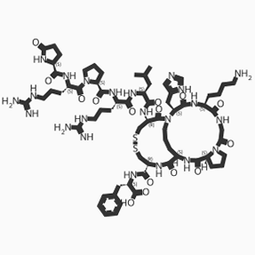 CC(C)C[C@H](NC(=O)[C@H](CCCNC(=N)N)NC(=O)[C@@H]1CCCN1C(=O)[C@H](CCCNC(=N)N)NC(=O)[C@@H]1CCC(=O)N1)C(=O)N[C@H]1CSSC[C@@H](C(=O)N[C@@H](Cc2ccccc2)C(=O)O)NC(=O)[C@@H]2CCCN(C1=O)[C@@H](Cc1cnc[nH]1)C(=O)N[C@@H](CCCCN)C(=O)NCC(=O)N1CCC[C@H]1C(=O)N2